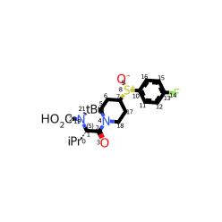 CC(C)[C@@H](C(=O)N1CCC([S+]([O-])c2ccc(F)cc2)CC1)N(C(=O)O)C(C)(C)C